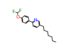 CCCCCCCc1ccc(-c2ccc(OC(F)F)cc2)nc1